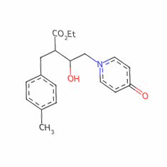 CCOC(=O)C(Cc1ccc(C)cc1)C(O)Cn1ccc(=O)cc1